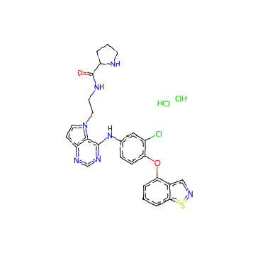 Cl.Cl.O=C(NCCn1ccc2ncnc(Nc3ccc(Oc4cccc5sncc45)c(Cl)c3)c21)C1CCCN1